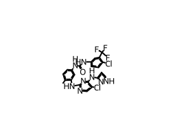 Cc1ccc(NC(=O)Nc2ccc(Cl)c(C(F)(F)F)c2)cc1Nc1ncc(Cl)c(Nc2cc[nH]n2)n1